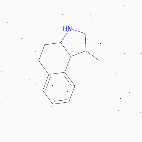 CC1CNC2CCc3ccccc3C12